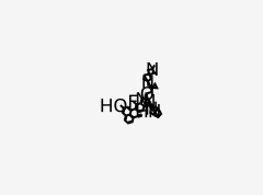 C#Cc1cccc2cc(O)cc(-c3ccc4c(N5CC6CCC(C5)N6)nc(OCC5(CN6CCC7(CN(C)C7)C6)CC5)nc4c3F)c12